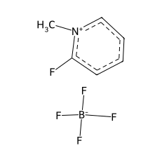 C[n+]1ccccc1F.F[B-](F)(F)F